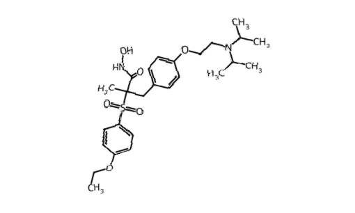 CCOc1ccc(S(=O)(=O)C(C)(Cc2ccc(OCCN(C(C)C)C(C)C)cc2)C(=O)NO)cc1